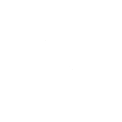 O=[N+]([O-])N1CCc2cccc(I)c2CC1